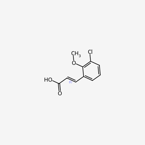 COc1c(Cl)cccc1/C=C/C(=O)O